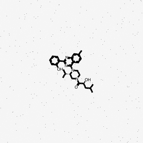 Cc1ccc2c(N3CCN(C(=O)[C@@H](O)CC(C)C)C[C@@H]3C(C)C)nc(-c3ccccc3O)nc2c1